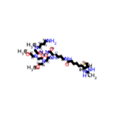 C=C1N[C@H]2CSC(CCCCC(=O)NCCCC[C@H](NC(=O)CN(CCOC)C(=O)CN(CCOC)C(=O)CN(C)CCCCN)C(N)=O)[C@H]2N1